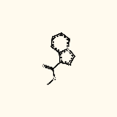 COC(=O)c1ncn2c[c]ccc12